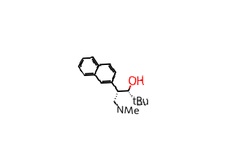 CNC[C@H](c1ccc2ccccc2c1)[C@H](O)C(C)(C)C